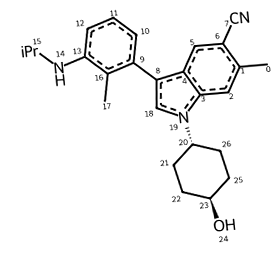 Cc1cc2c(cc1C#N)c(-c1cccc(NC(C)C)c1C)cn2[C@H]1CC[C@H](O)CC1